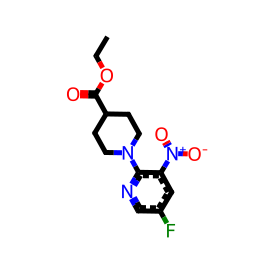 CCOC(=O)C1CCN(c2ncc(F)cc2[N+](=O)[O-])CC1